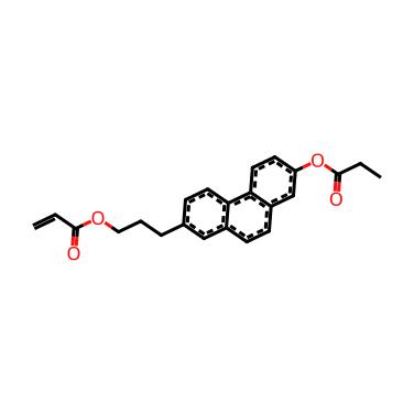 C=CC(=O)OCCCc1ccc2c(ccc3cc(OC(=O)CC)ccc32)c1